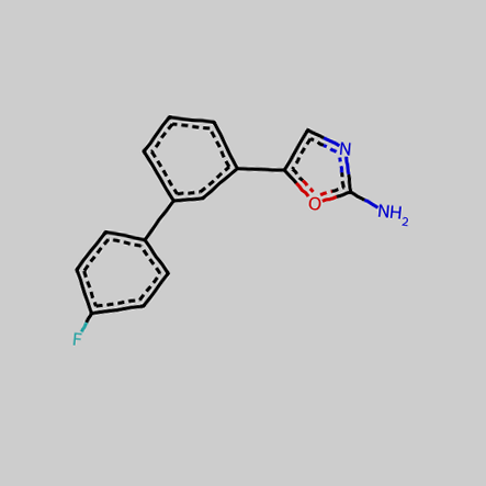 Nc1ncc(-c2cccc(-c3ccc(F)cc3)c2)o1